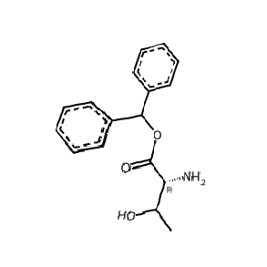 CC(O)[C@@H](N)C(=O)OC(c1ccccc1)c1ccccc1